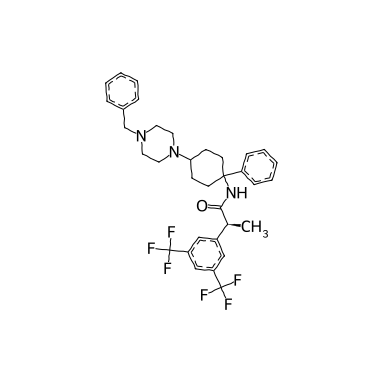 C[C@H](C(=O)NC1(c2ccccc2)CCC(N2CCN(Cc3ccccc3)CC2)CC1)c1cc(C(F)(F)F)cc(C(F)(F)F)c1